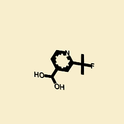 CC(C)(F)c1cc(C(O)O)ccn1